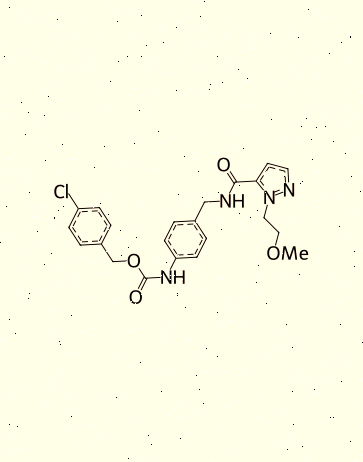 COCCn1nccc1C(=O)NCc1ccc(NC(=O)OCc2ccc(Cl)cc2)cc1